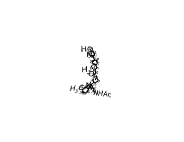 CC(=O)NCCn1c(C2CCCN(C(=O)CC(N)Cc3ccc(-c4ccc(O)nc4)cc3)C2)nc2c(C)cccc21